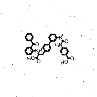 CN(C(=O)Nc1ccc(C(=O)O)cc1)c1cccc(-c2ccc(CC(Nc3ccccc3C(=O)c3ccccc3)C(=O)O)cc2)c1